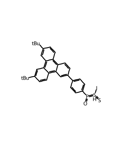 CC(C)(C)c1ccc2c3ccc(-c4ccc(P(=O)=[SH](=S)I)cc4)cc3c3ccc(C(C)(C)C)cc3c2c1